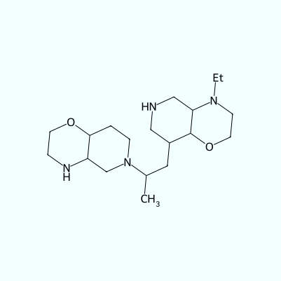 CCN1CCOC2C(CC(C)N3CCC4OCCNC4C3)CNCC21